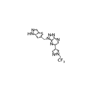 FC(F)(F)Cn1cc(-c2cnc3nnn(Cc4cc5[nH]ncc5s4)c3n2)cn1